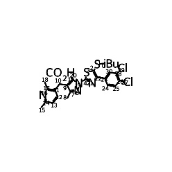 CCC(C)Sc1sc(-n2nc(C)c(Cc3ccc(C)nc3C)c2C(=O)O)nc1-c1ccc(Cl)c(Cl)c1